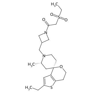 CCc1cc2c(s1)CCO[C@@]21CCN(CC2CN(C(=O)CS(=O)(=O)CC)C2)[C@@H](C)C1